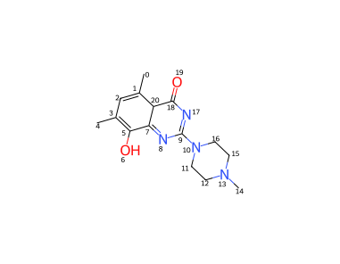 CC1=CC(C)=C(O)C2=NC(N3CCN(C)CC3)=NC(=O)C12